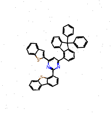 c1ccc(C2(c3ccccc3)c3ccccc3-c3c(-c4cc(-c5cc6ccccc6s5)nc(-c5cccc6c5sc5ccccc56)n4)cccc32)cc1